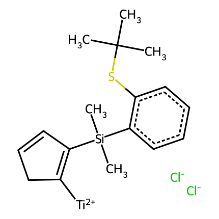 CC(C)(C)Sc1ccccc1[Si](C)(C)C1=[C]([Ti+2])CC=C1.[Cl-].[Cl-]